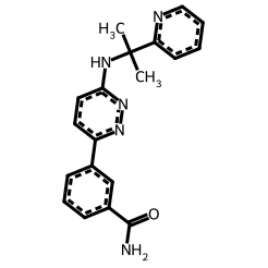 CC(C)(Nc1ccc(-c2cccc(C(N)=O)c2)nn1)c1ccccn1